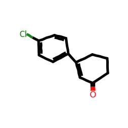 O=C1C=C(c2ccc(Cl)cc2)CCC1